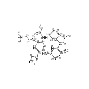 C=CC(=O)Nc1cc(Nc2ncc(C(C)=O)c(-c3cn(C)c4ccccc34)n2)c(OCC(F)(F)F)nc1N(C)CCN(C)C